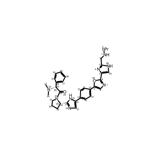 CCCNCc1nc(-c2ncc(-c3ccc(-c4cnc([C@@H]5CCCN5C(=O)[C@@H](c5ccccc5)N(C)C)[nH]4)cc3)o2)c[nH]1